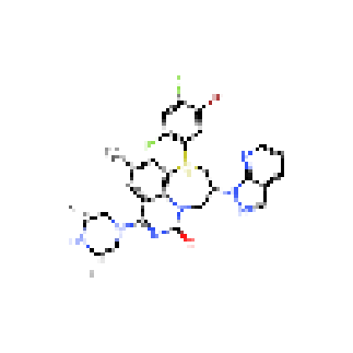 C[C@@H]1CN(c2nc(=O)n3c4c(cc(C(F)(F)F)cc24)[SH](c2cc(Br)c(F)cc2F)CC(n2ncc4cccnc42)C3)C[C@H](C)N1